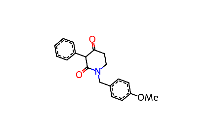 COc1ccc(CN2CCC(=O)C(c3ccccc3)C2=O)cc1